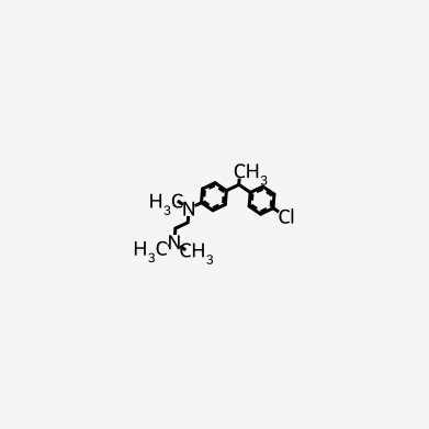 CC(c1ccc(Cl)cc1)c1ccc(N(C)CCN(C)C)cc1